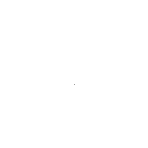 C[C@@](CCCCNC(=O)OCc1ccccc1)(NCc1cccs1)C(=O)O